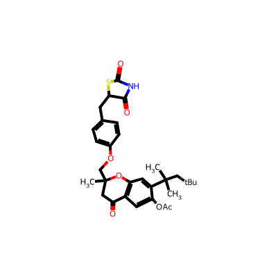 CC(=O)Oc1cc2c(cc1C(C)(C)CC(C)(C)C)OC(C)(COc1ccc(CC3SC(=O)NC3=O)cc1)CC2=O